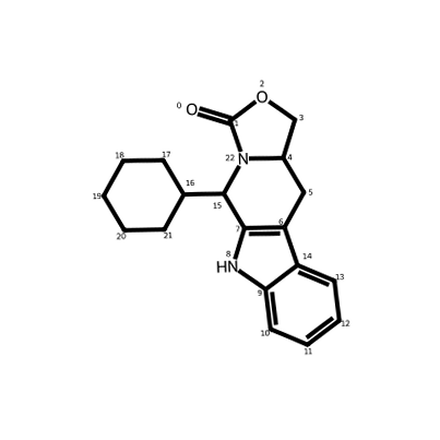 O=C1OCC2Cc3c([nH]c4ccccc34)C(C3CCCCC3)N12